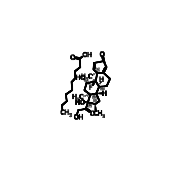 CCCCCCCCCC(=O)O.C[C@@H]1C[C@H]2[C@@H]3CCC4=CC(=O)C=C[C@]4(C)[C@@]3(F)[C@@H](O)C[C@]2(C)[C@@]1(O)C(=O)CO